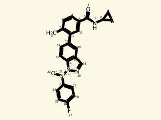 Cc1ccc(C(=O)NC2CC2)cc1-c1ccc2c(cnn2[S+]([O-])c2ccc(F)cc2)c1